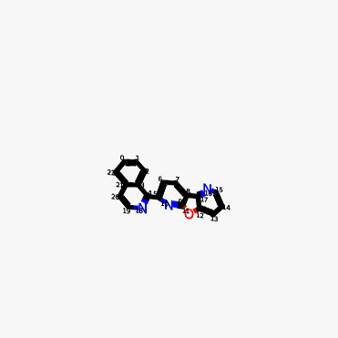 c1ccc2c(-c3ccc4c(n3)oc3cccnc34)nccc2c1